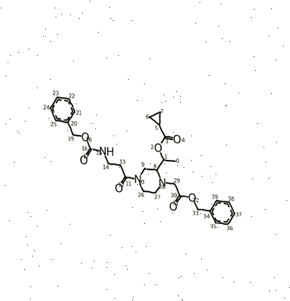 CC(OC(=O)C1CC1)C1CN(C(=O)CCNC(=O)OCc2ccccc2)CCN1CC(=O)OCc1ccccc1